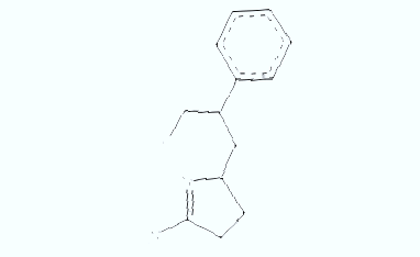 CCC(CC1CCC(N)=N1)c1ccccc1